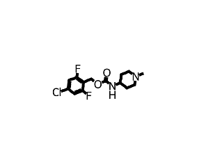 CN1CCC(NC(=O)OCc2c(F)cc(Cl)cc2F)CC1